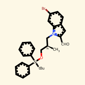 C[C@@H](CO[Si](c1ccccc1)(c1ccccc1)C(C)(C)C)Cn1c(C=O)cc2ccc(Br)cc21